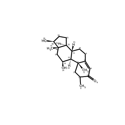 CC1C[C@@]2(C)C(=CC1=O)CC[C@@H]1[C@@H]2[C@@H](O)C[C@]2(C)[C@@H](O)CC[C@@H]12